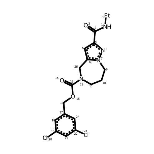 CCNC(=O)c1cc2n(n1)CCCN(C(=O)OCc1cc(Cl)cc(Cl)c1)C2